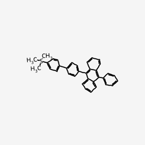 CS(C)(C)c1ccc(-c2ccc(-c3c4ccccc4c(-c4ccccc4)c4ccccc34)cc2)cc1